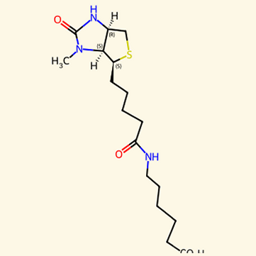 CN1C(=O)N[C@H]2CS[C@@H](CCCCC(=O)NCCCCCC(=O)O)[C@H]21